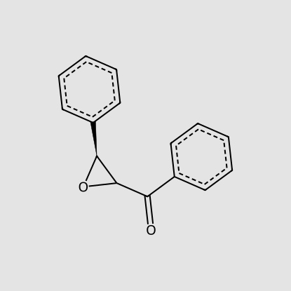 O=C(c1ccccc1)C1O[C@H]1c1ccccc1